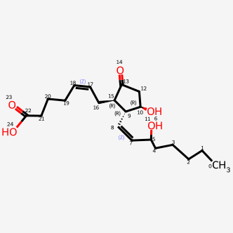 CCCCCC(O)/C=C\[C@H]1[C@H](O)CC(=O)[C@@H]1C/C=C\CCCC(=O)O